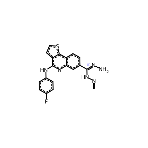 C=NN/C(=N\N)c1ccc2c(c1)nc(Nc1ccc(F)cc1)c1ccsc12